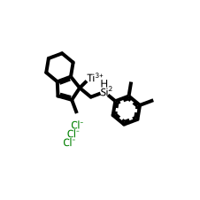 CC1=CC2=C(CCCC2)[C]1([Ti+3])C[SiH2]c1cccc(C)c1C.[Cl-].[Cl-].[Cl-]